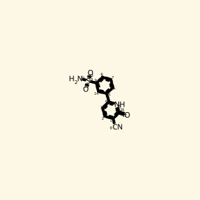 N#Cc1ccc(-c2cccc(S(N)(=O)=O)c2)[nH]c1=O